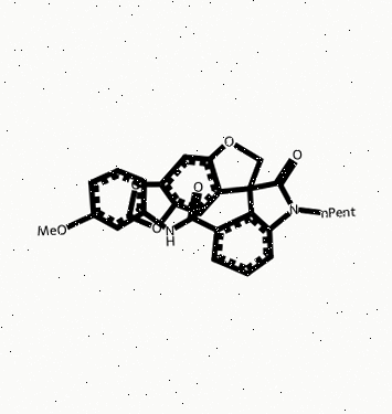 CCCCCN1C(=O)C2(COc3cc4c(cc32)OCO4)c2c(C(=O)Nc3cccc(OC)c3)cccc21